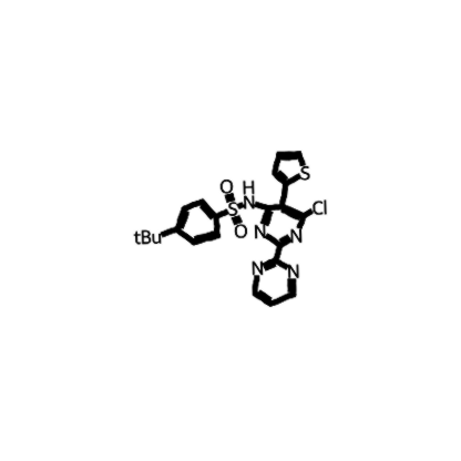 CC(C)(C)c1ccc(S(=O)(=O)Nc2nc(-c3ncccn3)nc(Cl)c2-c2cccs2)cc1